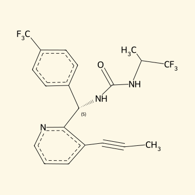 CC#Cc1cccnc1[C@@H](NC(=O)NC(C)C(F)(F)F)c1ccc(C(F)(F)F)cc1